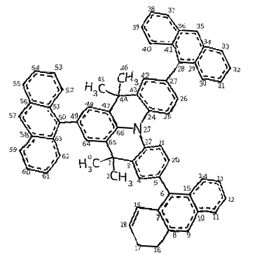 CC1(C)c2cc(-c3c4c(cc5ccccc35)CCC=C4)ccc2N2c3ccc(-c4c5ccccc5cc5ccccc45)cc3C(C)(C)c3cc(-c4c5ccccc5cc5ccccc45)cc1c32